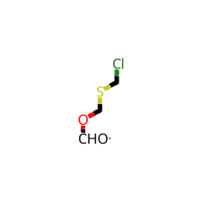 O=[C]OCSCCl